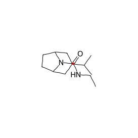 CCNC(=O)N1C2CCC1CC(C(C)C)C2